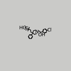 CC(C)(CCC1(c2ccccc2)CCN(CC(O)c2ccc(Cl)cc2)CC1)[Si](C)(C)O